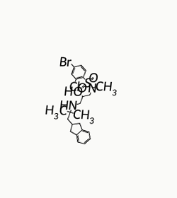 CN(CC(O)CNC(C)(C)CC1Cc2ccccc2C1)S(=O)(=O)c1ccc(Br)cc1Cl